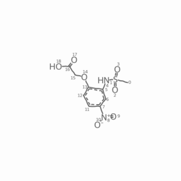 CS(=O)(=O)Nc1cc([N+](=O)[O-])ccc1OCC(=O)O